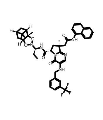 CC[C@H](NC(=O)[C@@H]1C[C@@](C)(CC(=O)Nc2cccc3ccccc23)c2ncc(NCc3cccc(C(F)(F)F)c3)c(=O)n21)B1O[C@@H]2C[C@@H]3C[C@@H](C3(C)C)[C@]2(C)O1